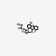 CC(C)(C)OC(=O)NCc1nnc2n1-c1ccc(Br)c(Cl)c1C(c1c(F)cccc1F)=NC2